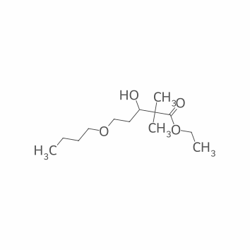 CCCCOCCC(O)C(C)(C)C(=O)OCC